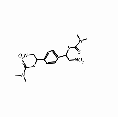 CN(C)C(=S)SC(C[N+](=O)[O-])c1ccc(C(C[N+](=O)[O-])SC(=S)N(C)C)cc1